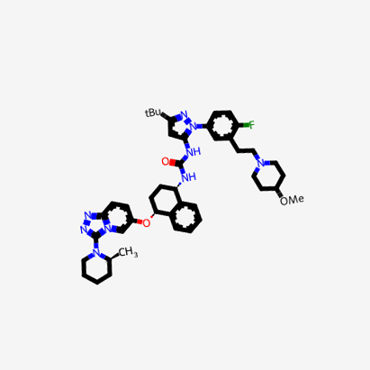 COC1CCN(CCc2cc(-n3nc(C(C)(C)C)cc3NC(=O)N[C@H]3CC[C@@H](Oc4ccc5nnc(N6CCCC[C@@H]6C)n5c4)c4ccccc43)ccc2F)CC1